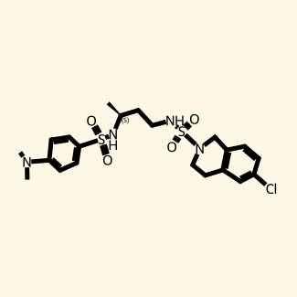 C[C@@H](CCNS(=O)(=O)N1CCc2cc(Cl)ccc2C1)NS(=O)(=O)c1ccc(N(C)C)cc1